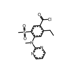 CCc1cc(N(C)c2ncccn2)c(S(C)(=O)=O)cc1C(=O)Cl